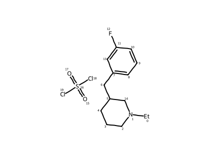 CCN1CCCC(Cc2cccc(F)c2)C1.O=S(=O)(Cl)Cl